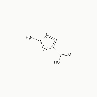 Nn1cc(C(=O)O)cn1